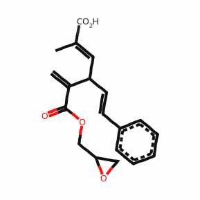 C=C(C(=O)OCC1CO1)C(C=Cc1ccccc1)C=C(C)C(=O)O